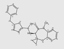 CN1C(=O)[C@H](NC(O)c2nnc(Cc3ccccc3)o2)C2(CC2)Oc2cccnc21